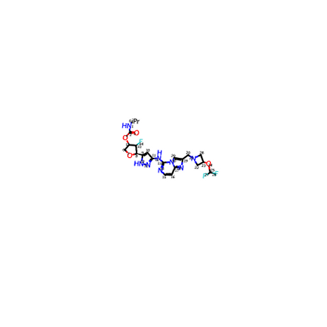 CC(C)NC(=O)O[C@@H]1CO[C@H](c2cc(Nc3nccc4nc(CN5CC(OC(F)F)C5)cn34)n[nH]2)[C@@H]1F